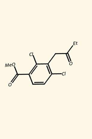 CCC(=O)Cc1c(Cl)ccc(C(=O)OC)c1Cl